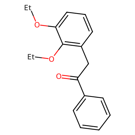 CCOc1cccc(CC(=O)c2ccccc2)c1OCC